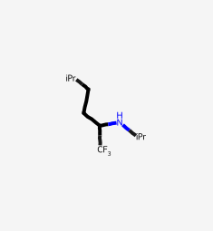 CC(C)CCC(NC(C)C)C(F)(F)F